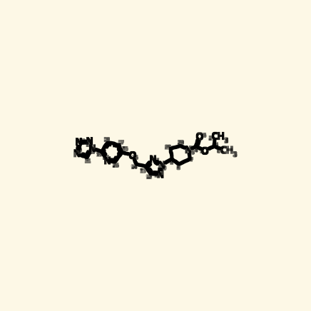 CC(C)OC(=O)N1CCC(n2ncc(COc3ccc(-n4cnnn4)nc3)n2)CC1